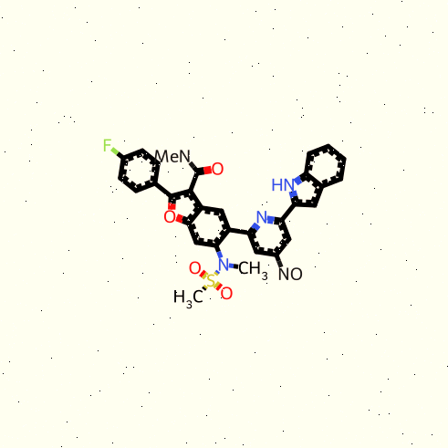 CNC(=O)c1c(-c2ccc(F)cc2)oc2cc(N(C)S(C)(=O)=O)c(-c3cc(N=O)cc(-c4cc5ccccc5[nH]4)n3)cc12